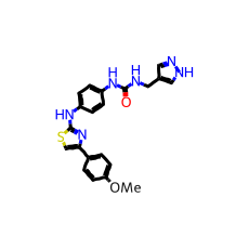 COc1ccc(-c2csc(Nc3ccc(NC(=O)NCc4cn[nH]c4)cc3)n2)cc1